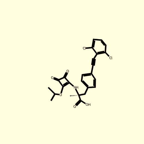 CC(C)Oc1c(N[C@@](C)(Cc2ccc(C#Cc3c(Cl)cccc3Cl)cc2)C(=O)O)c(=O)c1=O